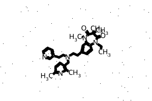 CCN1C(=O)C(C)(C)C(=O)N(C)c2cc(CCN(CCc3cccnc3)Cc3ccc(C)nc3C)ccc21